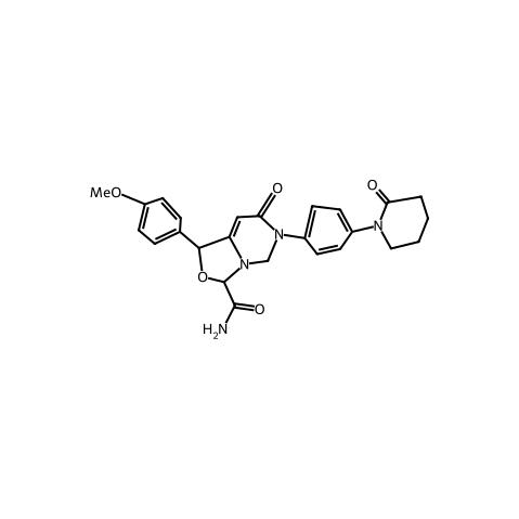 COc1ccc(C2OC(C(N)=O)N3CN(c4ccc(N5CCCCC5=O)cc4)C(=O)C=C23)cc1